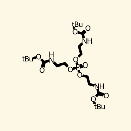 CC(C)(C)OC(=O)NCCOP(=O)(OCCNC(=O)OC(C)(C)C)OCCNC(=O)OC(C)(C)C